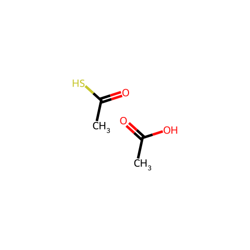 CC(=O)O.CC(=O)S